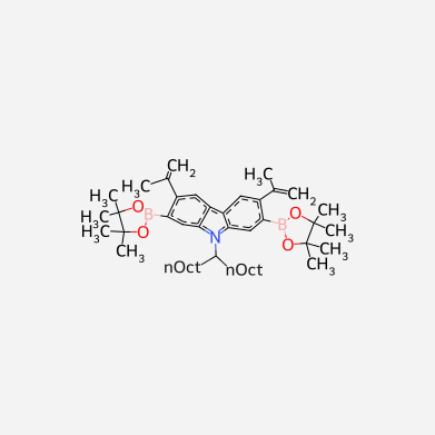 C=C(C)c1cc2c3cc(C(=C)C)c(B4OC(C)(C)C(C)(C)O4)cc3n(C(CCCCCCCC)CCCCCCCC)c2cc1B1OC(C)(C)C(C)(C)O1